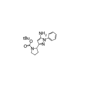 CC(C)(C)OC(=O)N1CCCC1c1cc(N)n(-c2ccccc2)n1